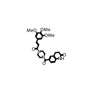 COc1cc(C=CC(=O)N2CCN(C(=O)c3ccc4c(c3)CCC(=O)N4)CC2)cc(OC)c1OC